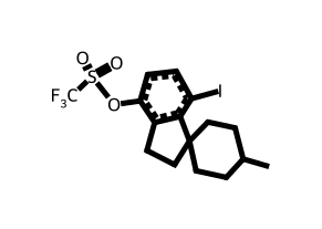 CC1CCC2(CCc3c(OS(=O)(=O)C(F)(F)F)ccc(I)c32)CC1